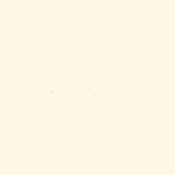 CC(F)(F)CNC(=O)c1ccc2c(n1)N(C(=O)Nc1cc(OCC(O)CO)ccn1)[C@H]1CCN2C1